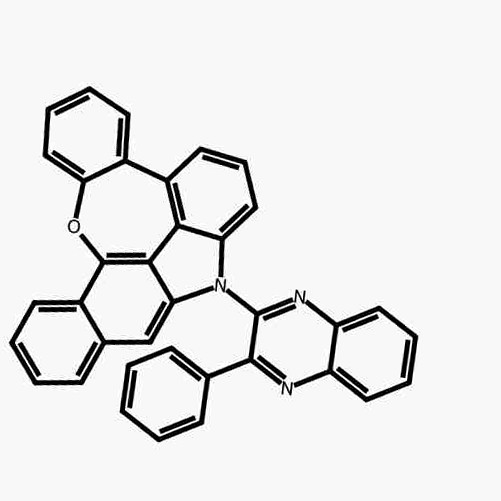 c1ccc(-c2nc3ccccc3nc2-n2c3cccc4c5ccccc5oc5c6ccccc6cc2c5c43)cc1